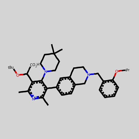 Cc1nc(C)c(C(OC(C)(C)C)C(=O)O)c(N2CCC(C)(C)CC2)c1-c1ccc2c(c1)CCN(Cc1ccccc1OC(C)C)C2